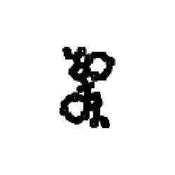 C=CC(=O)c1ccc(C(C)(C)c2ccc(C(=O)C=C)c3c2OCCOCCO3)c2c1OCCOCCO2